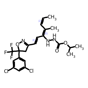 C\C=C/C(C)=C(\C=C\C1=NOC(c2cc(Cl)cc(Cl)c2)(C(F)(F)F)C1)NNC(=O)OC(C)C